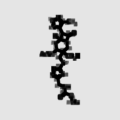 CC(=O)NC1S[C@@H]2C(c3nonc3C)C(=O)N2CC1(CSc1nnc(CNC(=O)OC(C)(C)C)s1)C(=O)O